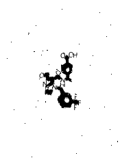 CC(NC(=O)c1c(C=O)nn2c1N(Cc1cccc(C(F)(F)F)c1)CC2)c1ccc(C(=O)O)cc1